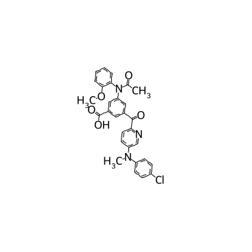 COc1ccccc1N(C(C)=O)c1cc(C(=O)O)cc(C(=O)c2ccc(N(C)c3ccc(Cl)cc3)cn2)c1